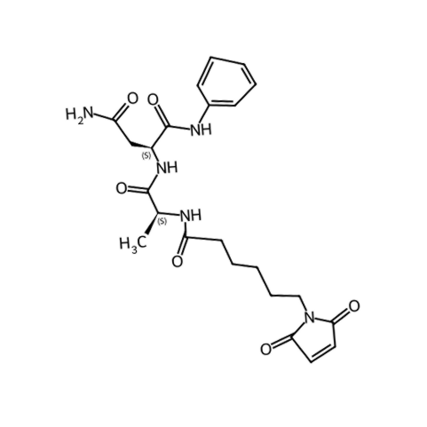 C[C@H](NC(=O)CCCCCN1C(=O)C=CC1=O)C(=O)N[C@@H](CC(N)=O)C(=O)Nc1ccccc1